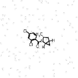 C[C@@H]1C[C@@H]2C[C@@H]2N1C(=O)c1ccc(Cl)cc1Cl